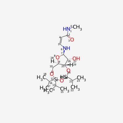 CNC(=O)/C=C\N[C@@H]1O[C@@H]2CO[Si](C(C)C)(C(C)C)O[SiH](C(C)C)O[C@H]2[C@H]1O